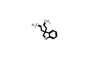 C=C[CH]C1(CC=C)C=Nc2ccccc21